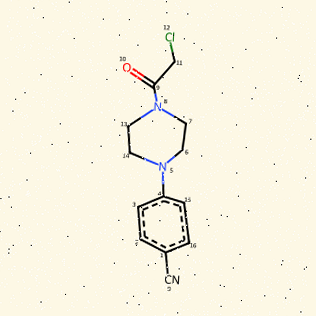 N#Cc1ccc(N2CCN(C(=O)CCl)CC2)cc1